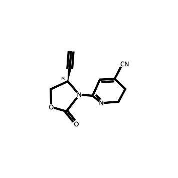 C#C[C@@H]1COC(=O)N1C1=NCCC(C#N)=C1